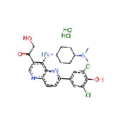 CN(C)[C@H]1CC[C@H](Nc2c(C(=O)CO)cnc3ccc(-c4cc(Cl)c(O)c(Cl)c4)nc23)CC1.Cl.Cl